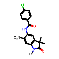 CCN1C(=O)C(C)(C)c2cc(NC(=O)c3ccc(Cl)cc3)c([N+](=O)[O-])cc21